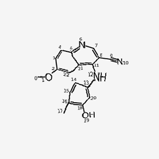 COc1ccc2ncc(C#N)c(Nc3ccc(C)c(O)c3)c2c1